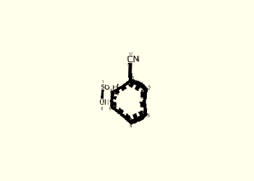 N#Cc1ccccc1.O=S(=O)(O)O